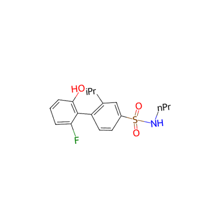 CCCNS(=O)(=O)c1ccc(-c2c(O)cccc2F)c(C(C)C)c1